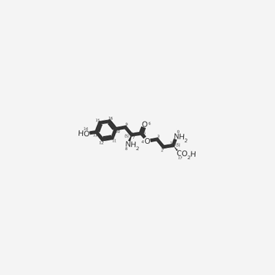 N[C@@H](CCOC(=O)[C@@H](N)Cc1ccc(O)cc1)C(=O)O